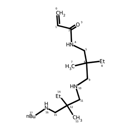 C=CC(=O)NCC(C)(CC)CNCC(C)(CC)CNCCCC